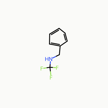 FC(F)(F)NCc1ccccc1